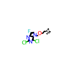 C[Si](C)(C)CCOCn1cc(F)c2nc(Cl)nc(Cl)c21